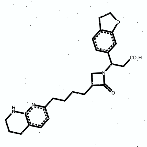 O=C(O)CC(c1ccc2c(c1)OCC2)N1CC(CCCCc2ccc3c(n2)NCCC3)C1=O